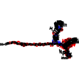 C=Cc1ccccc1N(Cc1ccccc1CC)C(=O)CCCCC(=O)N1CCC2(CCC(C(=O)NC(CNC(=O)CCOCCOCCOCCOCCOCCOCCOCCOCCOCCOCCOCCOC)C(=O)NCCNC(=O)C3(O)Cc4c(O)c5c(c(O)c4C(OC4CC6C(OC7C(OC)OCCN67)C(C)O4)C3)C(=O)c3c(OC)cccc3C5=O)CC2)CC1